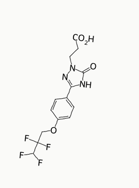 O=C(O)CCn1nc(-c2ccc(OCC(F)(F)C(F)F)cc2)[nH]c1=O